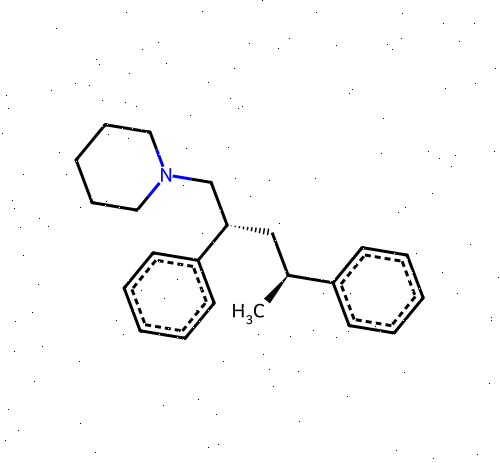 C[C@@H](C[C@@H](CN1CCCCC1)c1ccccc1)c1ccccc1